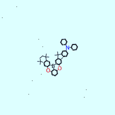 CC1(C)CCC(C)(C)c2cc3c(cc21)Oc1cccc2c1B3c1cc3c(cc1O2)-c1ccc(N(c2ccccc2)c2ccccc2)cc1C3(C)C